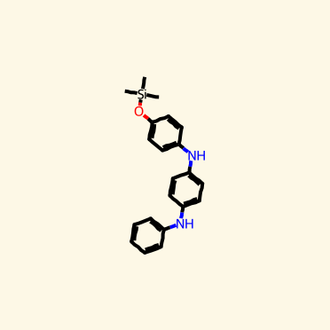 C[Si](C)(C)Oc1ccc(Nc2ccc(Nc3ccccc3)cc2)cc1